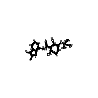 Cc1oc2c(NC(=O)c3c(Cl)ccc(O[Si](C(C)C)(C(C)C)C(C)C)c3Cl)cccc2c1C